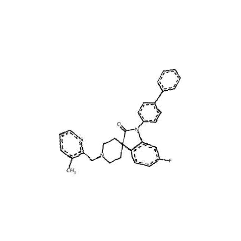 Cc1cccnc1CN1CCC2(CC1)C(=O)N(c1ccc(-c3ccccc3)cc1)c1cc(F)ccc12